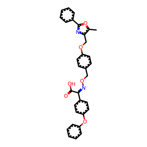 Cc1oc(-c2ccccc2)nc1COc1ccc(CON=C(C(=O)O)c2ccc(Oc3ccccc3)cc2)cc1